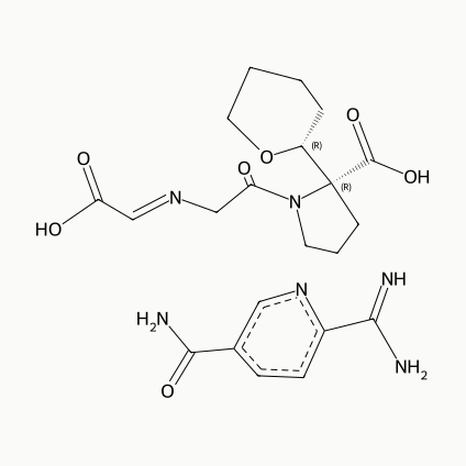 N=C(N)c1ccc(C(N)=O)cn1.O=C(O)C=NCC(=O)N1CCC[C@]1(C(=O)O)[C@H]1CCCCO1